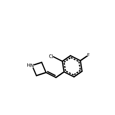 Fc1ccc(C=C2CNC2)c(Cl)c1